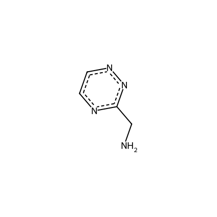 NCc1nccnn1